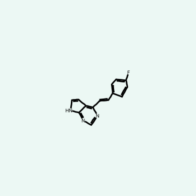 Fc1ccc(C=Cc2ncnc3[nH]ccc23)cc1